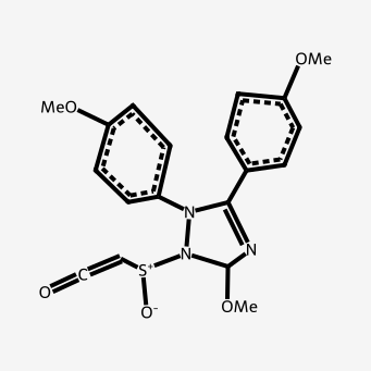 COc1ccc(C2=NC(OC)N([S+]([O-])C=C=O)N2c2ccc(OC)cc2)cc1